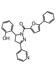 O=C(c1ccc(-c2ccccc2)o1)N1N=C(c2cccnc2)CC1c1ccccc1O